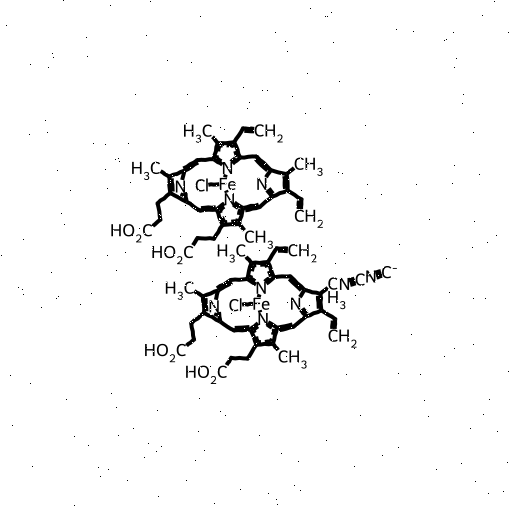 C=CC1=C(C)/C2=C/c3c(C=C)c(C)c4[n]3[Fe]([Cl])[n]3/c(c(C)c(CCC(=O)O)/c3=C/C3=NC(=C\4)/C(C)=C3CCC(=O)O)=C\C1=N2.C=CC1=C(C)/C2=C/c3c(C=C)c(C)c4[n]3[Fe]([Cl])[n]3/c(c(C)c(CCC(=O)O)/c3=C/C3=NC(=C\4)/C(C)=C3CCC(=O)O)=C\C1=N2.[C-]#N.[C-]#N